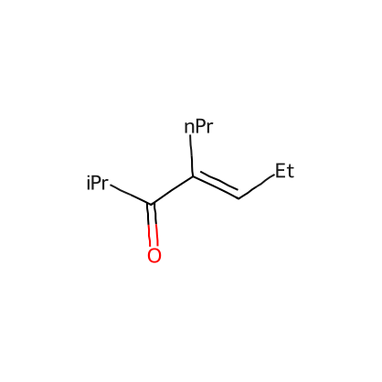 CC/C=C(\CCC)C(=O)C(C)C